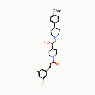 COc1ccc(C2CCN(CC(O)C3CCN(C(=O)C=Cc4cc(F)cc(F)c4)CC3)CC2)cc1